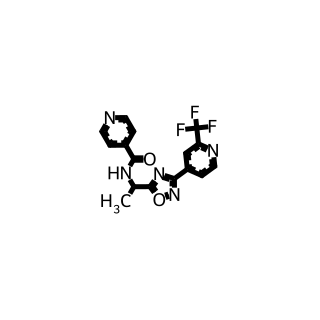 CC(NC(=O)c1ccncc1)c1nc(-c2ccnc(C(F)(F)F)c2)no1